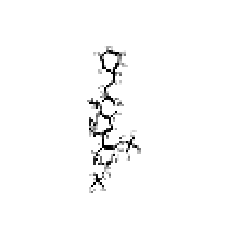 Cc1cc(-c2cnc(OC(C)(C)C)nc2OC(C)(C)C)nnc1N(C)C(=O)CCc1ccccc1